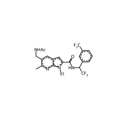 CCn1c(C(=O)NC(c2cccc(C(F)(F)F)c2)C(F)(F)F)cc2cc(CNC(C)=O)c(C)nc21